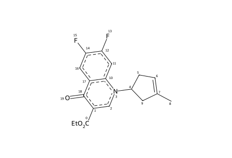 CCOC(=O)c1cn(C2CC=C(C)C2)c2cc(F)c(F)cc2c1=O